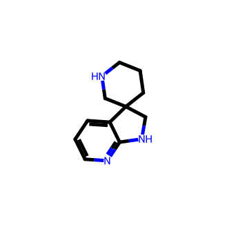 c1cnc2c(c1)C1(CCCNC1)CN2